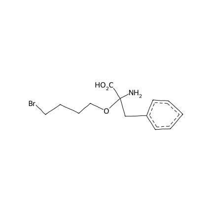 NC(Cc1ccccc1)(OCCCCBr)C(=O)O